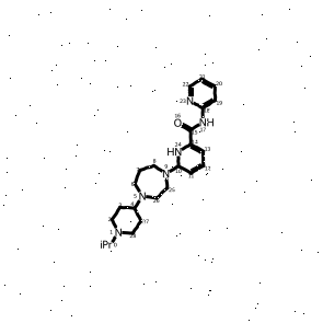 CC(C)N1CCC(N2CCCN(C3C=CC=C(C(=O)Nc4ccccn4)N3)CC2)CC1